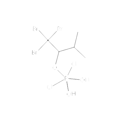 CC(C)C(OP(O)(O)(Cl)Cl)C(Br)(Br)Br